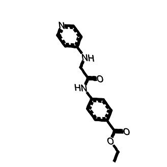 CCOC(=O)c1ccc(NC(=O)CNc2ccncc2)cc1